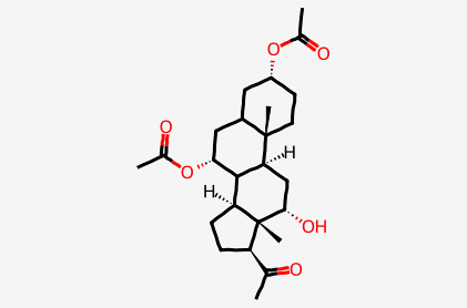 CC(=O)O[C@@H]1CC[C@@]2(C)C(C1)C[C@@H](OC(C)=O)C1[C@@H]3CC[C@H](C(C)=O)[C@@]3(C)[C@@H](O)C[C@@H]12